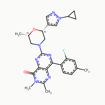 Cc1nc2c(-c3ccc(C(F)(F)F)cc3F)nc(N3C[C@@H](c4cnn(C5CC5)c4)O[C@@H](C)C3)nc2c(=O)n1C